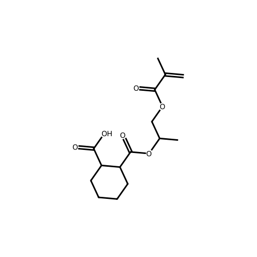 C=C(C)C(=O)OCC(C)OC(=O)C1CCCCC1C(=O)O